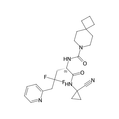 N#CC1(NC(=O)[C@H](CC(F)(F)Cc2ccccn2)NC(=O)N2CCC3(CCC3)CC2)CC1